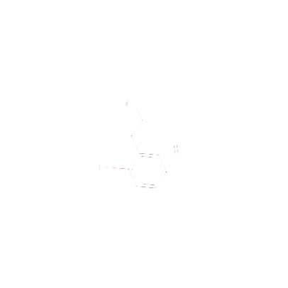 C=O.CC(C)CCc1ccccc1O